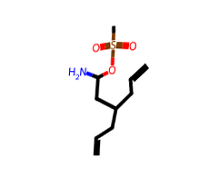 C=CCC(CC=C)CC(N)OS(C)(=O)=O